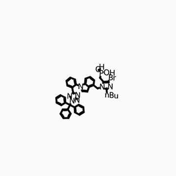 CCCCc1nc(Br)c(C[PH](=O)O)n1Cc1cccc2c1ccn2-c1ccccc1-c1nnn(C(c2ccccc2)(c2ccccc2)c2ccccc2)n1